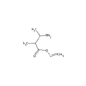 C=COC(=O)C(C)C(C)N